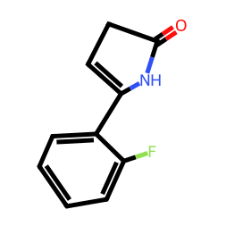 O=C1CC=C(c2ccccc2F)N1